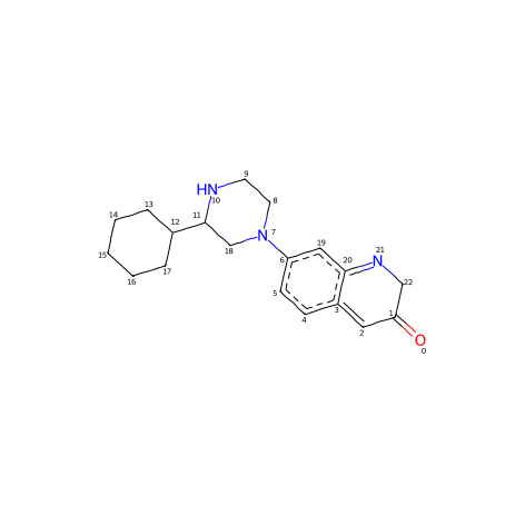 O=C1C=c2ccc(N3CCNC(C4CCCCC4)C3)cc2=NC1